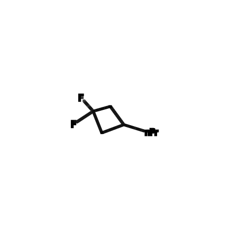 CCCC1CC(F)(F)C1